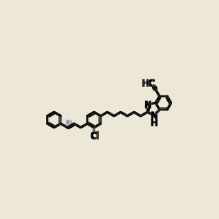 C#Cc1cccc2[nH]c(CCCCCCc3ccc(C/C=C/c4ccccc4)c(Cl)c3)nc12